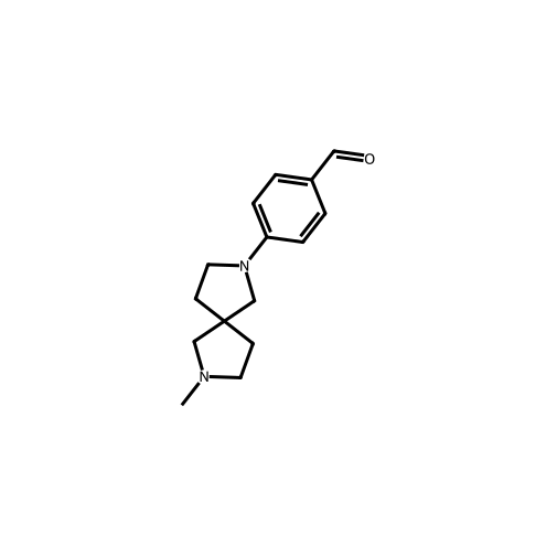 CN1CCC2(CCN(c3ccc(C=O)cc3)C2)C1